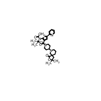 CC1(C)CC2(CCCN(C3CCN(C(=O)c4cc(-c5ccccn5)sc4N(C(=O)O)C(C)(C)C)CC3)C2)C(=O)O1